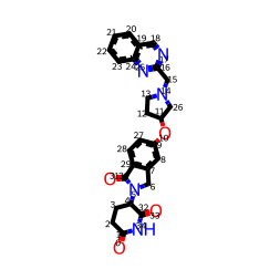 O=C1CCC(N2Cc3cc(OC4CCN(Cc5ncc6ccccc6n5)C4)ccc3C2=O)C(=O)N1